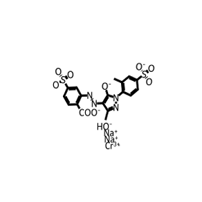 Cc1cc(S(=O)(=O)[O-])ccc1-n1nc(C)c(N=Nc2cc(S(=O)(=O)[O-])ccc2C(=O)[O-])c1[O-].[Cr+3].[Na+].[Na+].[OH-]